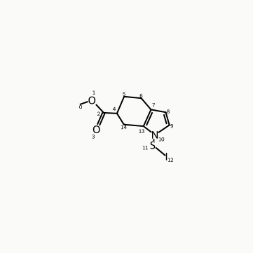 COC(=O)C1CCc2ccn(SI)c2C1